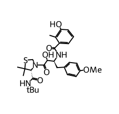 COc1ccc(C[C@H](NC(=O)c2cccc(O)c2C)[C@H](O)C(=O)N2CSC(C)(C)[C@H]2C(=O)NC(C)(C)C)cc1